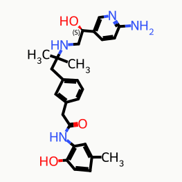 Cc1ccc(O)c(NC(=O)Cc2cccc(CC(C)(C)NC[C@@H](O)c3ccc(N)nc3)c2)c1